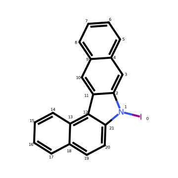 In1c2cc3ccccc3cc2c2c3ccccc3ccc21